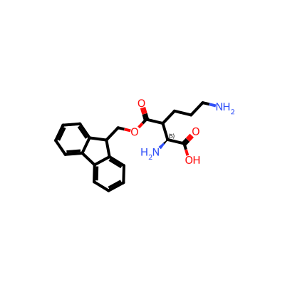 NCCCC(C(=O)OCC1c2ccccc2-c2ccccc21)[C@H](N)C(=O)O